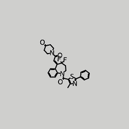 Cc1nc(-c2ccccc2)sc1C(=O)N1CCC(F)(F)C(=CC(=O)N2CCC(=O)CC2)c2ccccc21